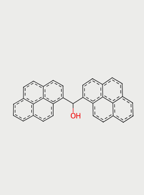 OC(c1ccc2ccc3cccc4ccc1c2c34)c1ccc2ccc3cccc4ccc1c2c34